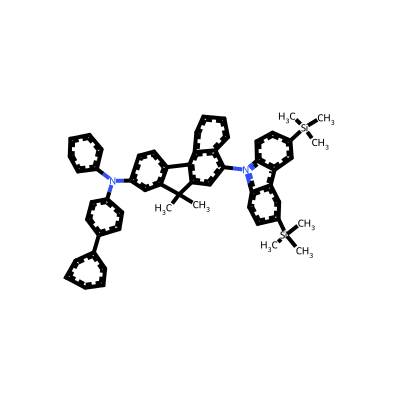 CC1(C)c2cc(N(c3ccccc3)c3ccc(-c4ccccc4)cc3)ccc2-c2c1cc(-n1c3ccc([Si](C)(C)C)cc3c3cc([Si](C)(C)C)ccc31)c1ccccc21